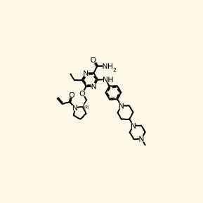 C=CC(=O)N1CCC[C@@H]1COc1nc(Nc2ccc(N3CCC(N4CCN(C)CC4)CC3)cc2)c(C(N)=O)nc1CC